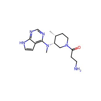 C[C@@H]1CCN(C(=O)CCN)C[C@@H]1N(C)c1ncnc2[nH]ccc12